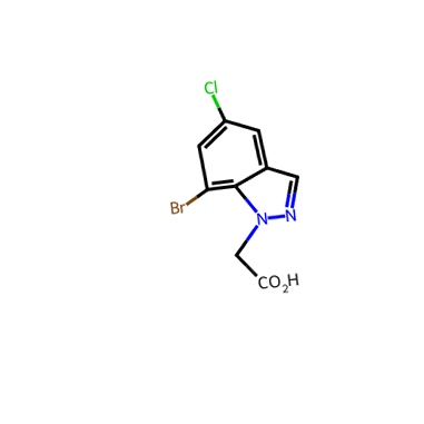 O=C(O)Cn1ncc2cc(Cl)cc(Br)c21